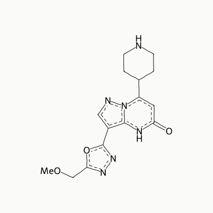 COCc1nnc(-c2cnn3c(C4CCNCC4)cc(=O)[nH]c23)o1